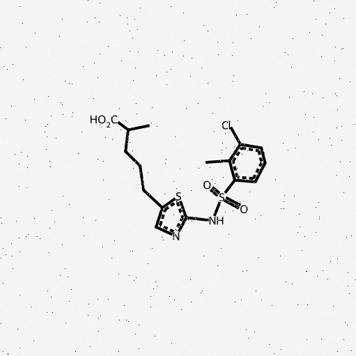 Cc1c(Cl)cccc1S(=O)(=O)Nc1ncc(CCCC(C)C(=O)O)s1